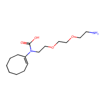 NCCOCCOCCN(C(=O)O)C1=CCCCCCC1